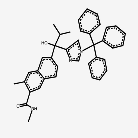 CNC(=O)c1cc2ccc(C(O)(c3cn(C(c4ccccc4)(c4ccccc4)c4ccccc4)cn3)C(C)C)cc2cc1C